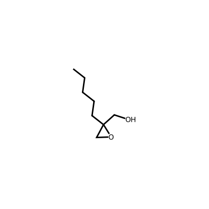 CCCCCC1(CO)CO1